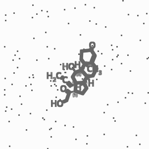 C=C=C[C@]12C[C@H](O)[C@H]3[C@@H](CCC4=CC(=O)CC[C@@]43C)[C@@H]1CC[C@@H]2C(=O)CO